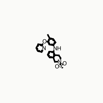 Cc1ccc(Nc2cccc3c2CCN(S(C)(=O)=O)C3)cc1Oc1ccccn1